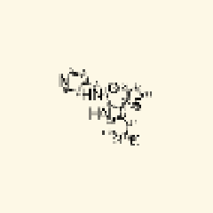 O=C(NCc1ccncc1)c1[nH]c2ccc(Cl)cc2c1-c1cccs1